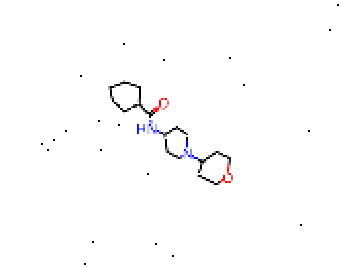 O=C(NC1CCN(C2CCOCC2)CC1)C1CCCCC1